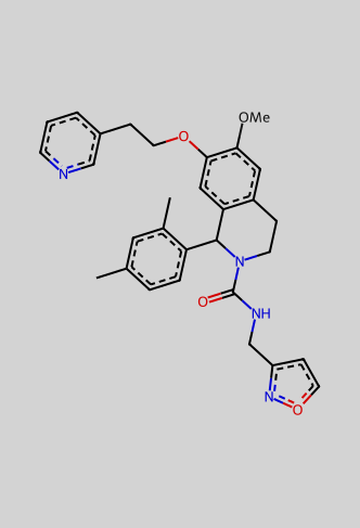 COc1cc2c(cc1OCCc1cccnc1)C(c1ccc(C)cc1C)N(C(=O)NCc1ccon1)CC2